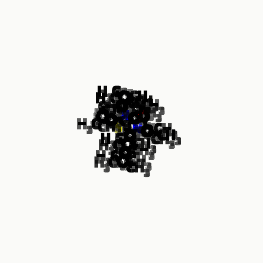 Cc1cc2c3c(c1)N(c1ccc4c(c1)C(C)(C)CCC4(C)C)c1c(sc4cc5c(cc14)C(C)(C)CCC5(C)C)B3c1cc3c(cc1N2c1ccc(C(C)(C)C)cc1-c1ccc(C(C)(C)C)cc1)C(C)(C)c1cc2c(cc1C3(C)C)C(C)(C)CCC2(C)C